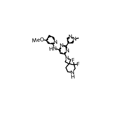 COc1ccnc(Nc2cc(N3CC4(CCNCC4(F)F)C3)nc(-c3cnn(C)c3)n2)c1